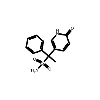 CC(c1ccccc1)(c1ccc(=O)[nH]c1)S(N)(=O)=O